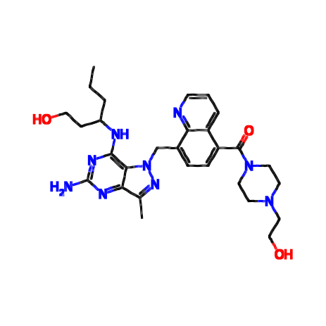 CCCC(CCO)Nc1nc(N)nc2c(C)nn(Cc3ccc(C(=O)N4CCN(CCO)CC4)c4cccnc34)c12